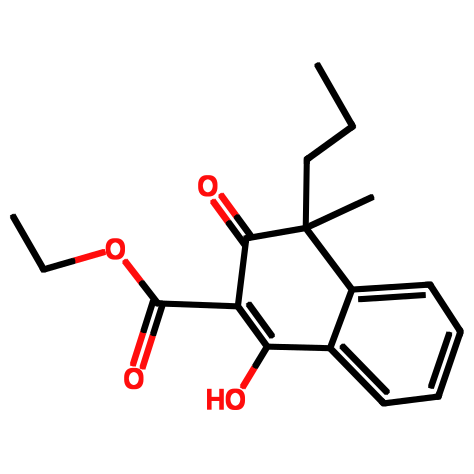 CCCC1(C)C(=O)C(C(=O)OCC)=C(O)c2ccccc21